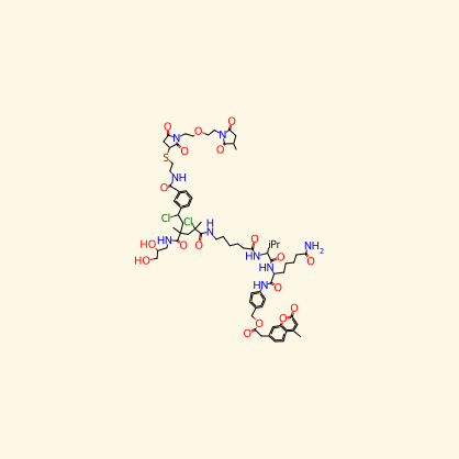 Cc1cc(=O)oc2cc(CC(=O)OCc3ccc(NC(=O)C(CCCCC(N)=O)NC(=O)C(NC(=O)CCCCCNC(=O)C(C)(Cl)CC(C)(CC(Cl)c4cccc(C(=O)NCCSC5CC(=O)N(CCOCCN6C(=O)CC(C)C6=O)C5=O)c4)C(=O)NCC(O)CO)C(C)C)cc3)ccc12